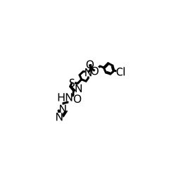 O=C(NCCn1ccnc1)c1csc(C2CCN(C(=O)OCc3ccc(Cl)cc3)CC2)n1